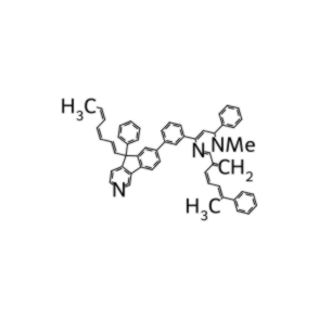 C=C(/C=C\C=C(/C)c1ccccc1)/C=N/C(=C\C(NC)c1ccccc1)c1cccc(-c2ccc3c(c2)C(/C=C/C=C\C=C/C)(c2ccccc2)c2ccncc2-3)c1